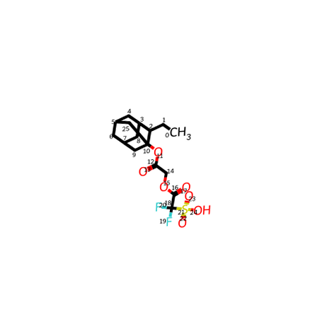 CCC1C2CC3CC(C2)CC1(OC(=O)COC(=O)C(F)(F)S(=O)(=O)O)C3